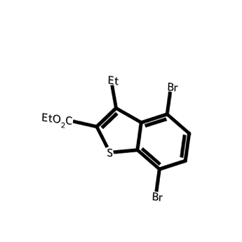 CCOC(=O)c1sc2c(Br)ccc(Br)c2c1CC